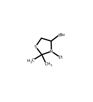 CCN1C(C(C)(C)C)CSC1(C)C